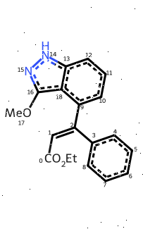 CCOC(=O)C=C(c1ccccc1)c1cccc2[nH]nc(OC)c12